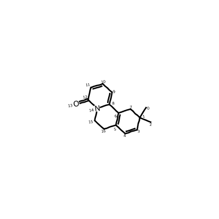 CC1(C)C=CC2=C(C1)c1cccc(=O)n1CC2